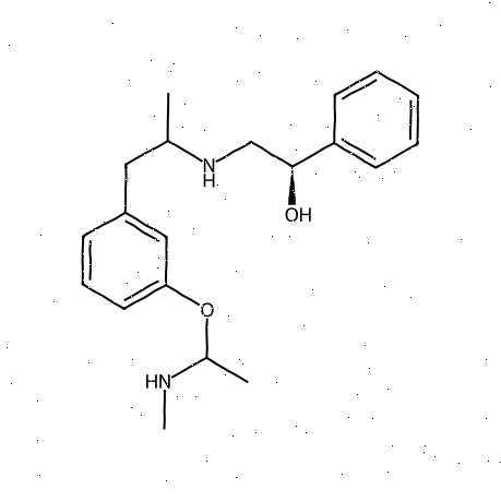 CNC(C)Oc1cccc(CC(C)NC[C@H](O)c2ccccc2)c1